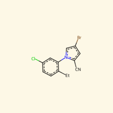 CCc1ccc(Cl)cc1-n1cc(Br)cc1C#N